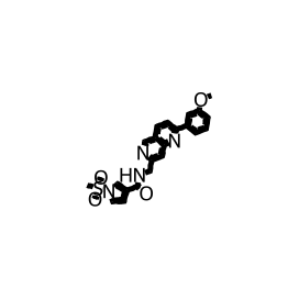 COc1cccc(-c2ccc3cnc(CNC(=O)c4ccn(S(C)(=O)=O)c4)cc3n2)c1